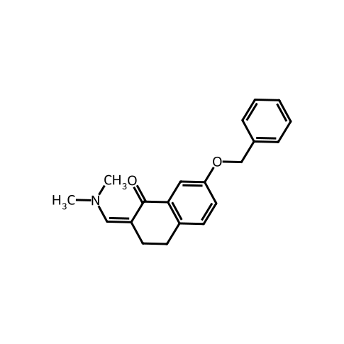 CN(C)/C=C1/CCc2ccc(OCc3ccccc3)cc2C1=O